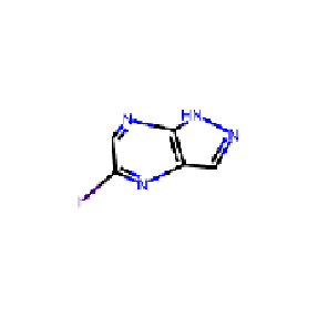 Ic1cnc2[nH]ncc2n1